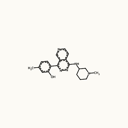 Cc1ccc(-c2nnc(NC3CCCN(C)C3)c3ccncc23)c(O)c1